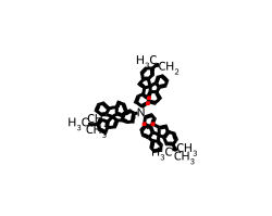 C=C(C)c1ccc2c(c1)C1(C(c3ccc(N(c4ccc(C5=Cc6ccc(C(C)(C)C)cc6C56c5ccccc5-c5ccccc56)cc4)c4ccc(C5=Cc6ccc(C(C)(C)C)cc6C56c5ccccc5-c5ccccc56)cc4)cc3)=C2)c2ccccc2-c2ccccc21